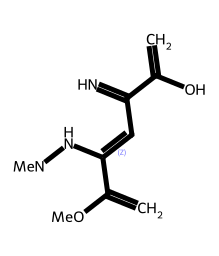 C=C(O)C(=N)/C=C(\NNC)C(=C)OC